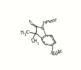 CCCCCN1C(=O)C(C)(C)c2cc(NC(C)=O)ccc21